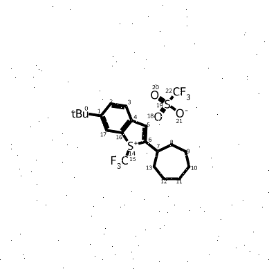 CC(C)(C)c1ccc2cc(C3CCCCCC3)[s+](C(F)(F)F)c2c1.O=S(=O)([O-])C(F)(F)F